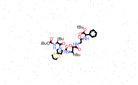 CCCCC(NC(=O)[C@@H]1CC2(CN1C(=O)[C@@H](NC(=O)OCC(C)C)C(C)(C)C)SCCCS2)C(=O)C(=O)NCC(=O)NC(C(=O)OC(C)(C)C)c1ccccc1